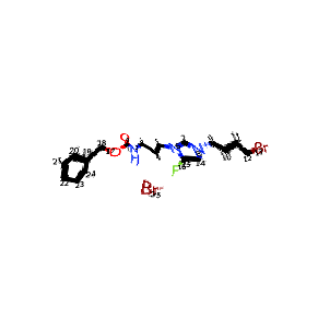 O=C(NCCCn1c[n+](CCCCBr)cc1F)OCc1ccccc1.[Br-]